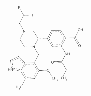 CCC(=O)Nc1cc([C@H]2CN(CC(F)F)CCN2Cc2c(OC)cc(C)c3[nH]ccc23)ccc1C(=O)O